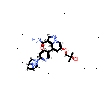 CC(C)(O)COc1cc(-c2ccc(N3CC4CC(C3)N4)nc2)c2c(C(N)=O)cnn2c1